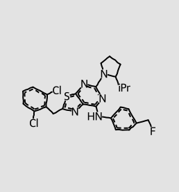 CC(C)C1CCCN1c1nc(Nc2ccc(CF)cc2)c2nc(Cc3c(Cl)cccc3Cl)sc2n1